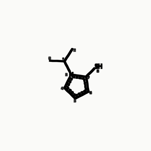 CC(C)n1cccc1S